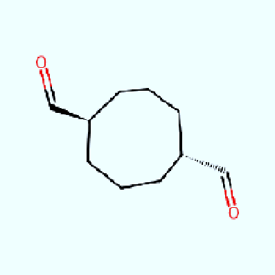 O=C[C@H]1CCC[C@H](C=O)CCC1